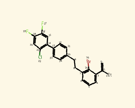 C=C(CC)c1cccc(CCc2ccc(-c3cc(F)c(F)cc3Cl)cc2)c1Br